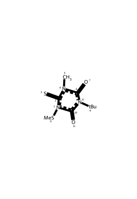 CSn1c(=S)n(C)c(=O)n(C(C)(C)C)c1=O